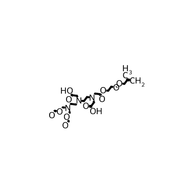 C=C(C)COOCCOC(=O)CN(CCN(CCN(COC=O)COC=O)CC(=O)O)CC(=O)O